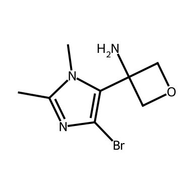 Cc1nc(Br)c(C2(N)COC2)n1C